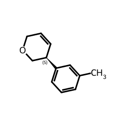 Cc1cccc([C@@H]2C=CCOC2)c1